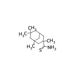 CC1(C)CC2CC(C)(C1)CC(C)(C(N)=S)C2